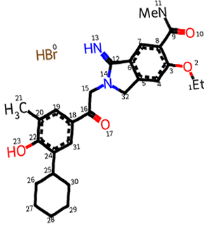 Br.CCOc1cc2c(cc1C(=O)NC)C(=N)N(CC(=O)c1cc(C)c(O)c(C3CCCCC3)c1)C2